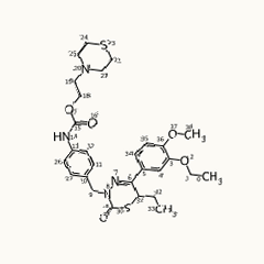 CCOc1cc(C2=NN(Cc3ccc(NC(=O)OCCN4CCSCC4)cc3)C(=O)SC2CC)ccc1OC